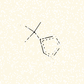 CC(C)(O)c1[c][nH]nn1